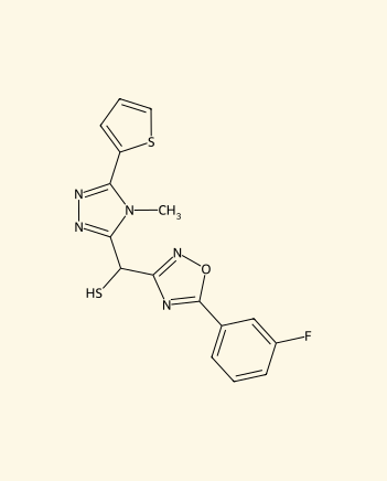 Cn1c(-c2cccs2)nnc1C(S)c1noc(-c2cccc(F)c2)n1